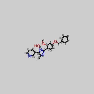 COc1cc(OCc2ccccc2)ccc1-c1nc(C)c(-c2cccnc2)n1O